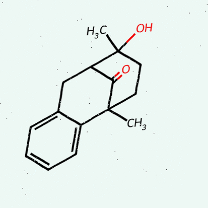 CC12CCC(C)(O)C(Cc3ccccc31)C2=O